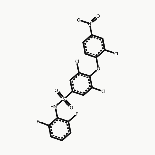 O=[N+]([O-])c1ccc(Oc2c(Cl)cc(S(=O)(=O)Nc3c(F)cccc3F)cc2Cl)c(Cl)c1